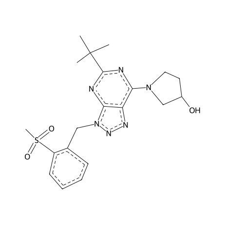 CC(C)(C)c1nc(N2CCC(O)C2)c2nnn(Cc3ccccc3S(C)(=O)=O)c2n1